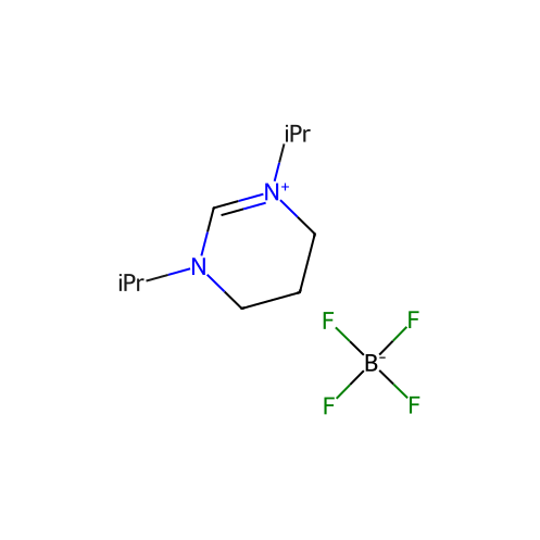 CC(C)N1C=[N+](C(C)C)CCC1.F[B-](F)(F)F